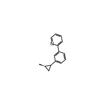 C[C@@H]1CC1c1cccc(-c2ccccn2)c1